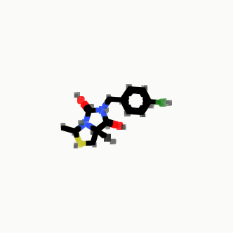 CC1SC[C@H]2C(=O)N(Cc3ccc(Cl)cc3)C(=O)N12